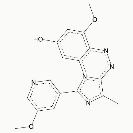 COc1cncc(-c2nc(C)c3nnc4c(OC)cc(O)cc4n23)c1